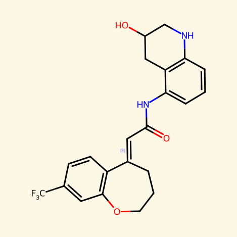 O=C(/C=C1\CCCOc2cc(C(F)(F)F)ccc21)Nc1cccc2c1CC(O)CN2